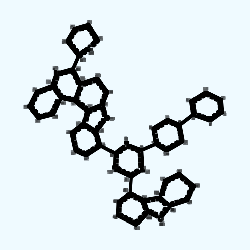 c1ccc(-c2ccc(-c3nc(-c4cccc5c4oc4ccc6c(-c7ccccc7)nc7ccccc7c6c45)nc(-c4cccc5oc6ccccc6c45)n3)cc2)cc1